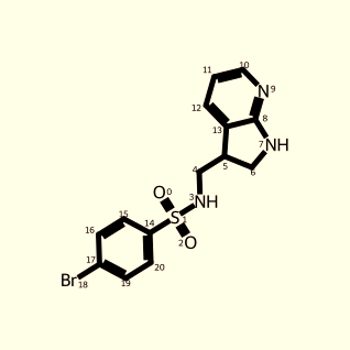 O=S(=O)(NCC1CNc2ncccc21)c1ccc(Br)cc1